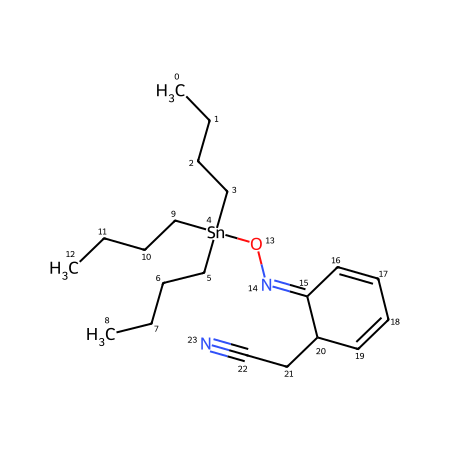 CCC[CH2][Sn]([CH2]CCC)([CH2]CCC)[O]N=C1C=CC=CC1CC#N